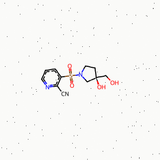 N#Cc1ncccc1S(=O)(=O)N1CC[C@](O)(CO)C1